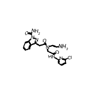 NCCN(CC(=O)Nc1cccc(Cl)n1)C(=O)Cc1nn(C(N)=O)c2ccccc12